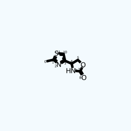 Cc1nc(C2COC(=O)N2)cs1